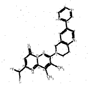 Cc1c(N2CCc3ncc(-c4cnccn4)cc3C2)nn2c(=O)cc(C(F)F)nc2c1C